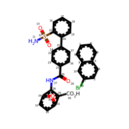 Brc1ccc2ccccc2c1.NS(=O)(=O)c1ccccc1-c1ccc(C(=O)Nc2c(C(=O)O)c3ccc2o3)cc1